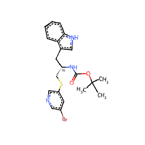 CC(C)(C)OC(=O)N[C@H](CSc1cncc(Br)c1)Cc1c[nH]c2ccccc12